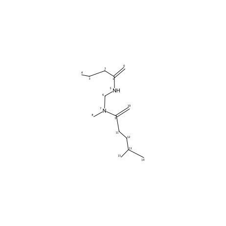 C=C(CCC)NCN(C)C(=C)CCC(C)C